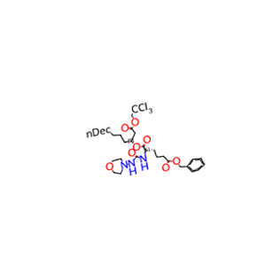 CCCCCCCCCCCCC[C@@H](CC(=O)OCC(Cl)(Cl)Cl)OC(=O)[C@H](CCCC(=O)OCc1ccccc1)NC(=O)NN1CCOCC1